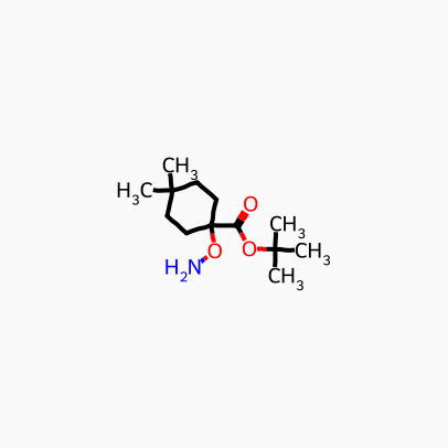 CC1(C)CCC(ON)(C(=O)OC(C)(C)C)CC1